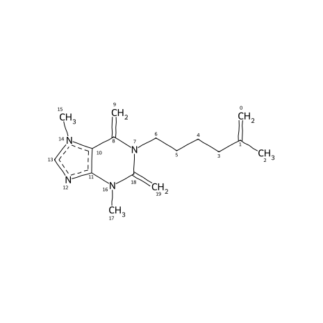 C=C(C)CCCCN1C(=C)c2c(ncn2C)N(C)C1=C